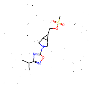 CC(C)c1noc(N2CC3C(COS(C)(=O)=O)C3C2)n1